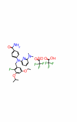 CCOc1cc(CN(c2ccc(C(N)=O)cc2)c2cccc(N(C)C)n2)c(F)c(OC(C)C)c1.O=C(O)C(F)(F)F.O=C(O)C(F)(F)F